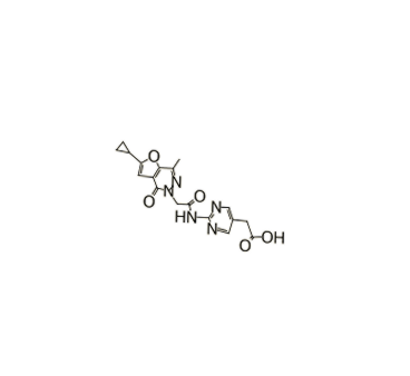 Cc1nn(CC(=O)Nc2ncc(CC(=O)O)cn2)c(=O)c2cc(C3CC3)oc12